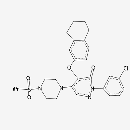 CC(C)S(=O)(=O)N1CCN(c2cnn(-c3cccc(Cl)c3)c(=O)c2Oc2ccc3c(c2)CCCC3)CC1